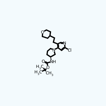 CC(C)(C)OC(=O)N[C@H]1CCCN(c2cc(Cl)ncc2CCC2CCOCC2)C1